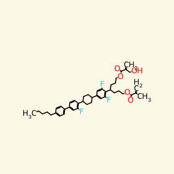 C=C(C)C(=O)OCCCC(CCCOC(=O)C(=C)CO)c1c(F)cc(C2CCC(c3ccc(-c4ccc(CCCCC)cc4)cc3F)CC2)cc1F